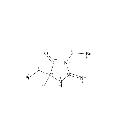 CC(C)CC1(C)NC(=N)N(CC(C)(C)C)C1=O